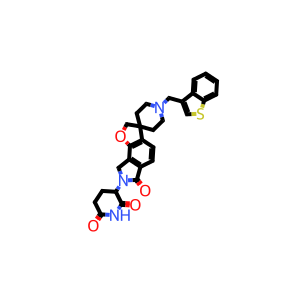 O=C1CCC(N2Cc3c(ccc4c3OCC43CCN(Cc4csc5ccccc45)CC3)C2=O)C(=O)N1